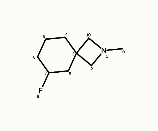 CN1CC2(CCCC(F)C2)C1